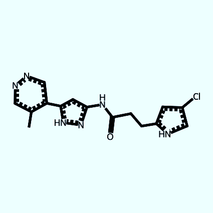 Cc1cnncc1-c1cc(NC(=O)CCc2cc(Cl)c[nH]2)n[nH]1